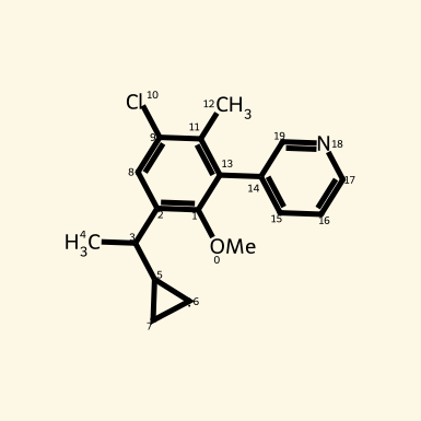 COc1c(C(C)C2[CH]C2)cc(Cl)c(C)c1-c1cccnc1